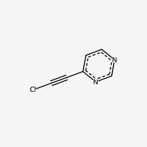 ClC#Cc1ccncn1